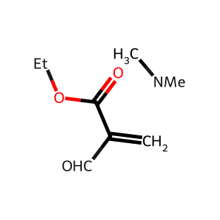 C=C(C=O)C(=O)OCC.CNC